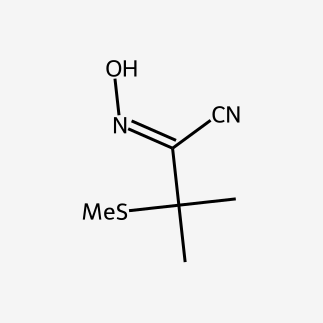 CSC(C)(C)C(C#N)=NO